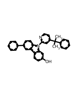 CC(C)(c1ccccc1)c1ccnc(-n2c3ccc(-c4ccccc4)cc3c3ccc(O)cc32)c1